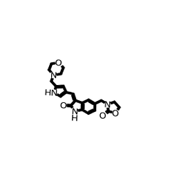 O=C1Nc2ccc(CN3CCOC3=O)cc2C1=Cc1c[nH]c(CN2CCOCC2)c1